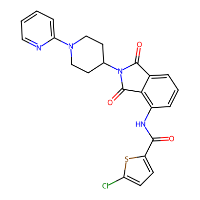 O=C(Nc1cccc2c1C(=O)N(C1CCN(c3ccccn3)CC1)C2=O)c1ccc(Cl)s1